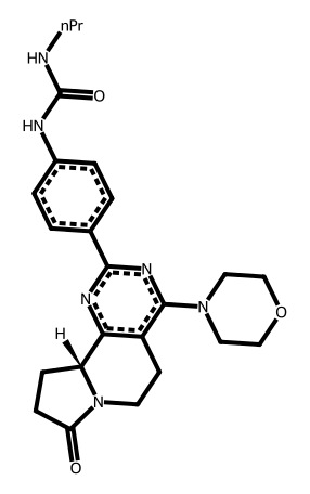 CCCNC(=O)Nc1ccc(-c2nc3c(c(N4CCOCC4)n2)CCN2C(=O)CC[C@H]32)cc1